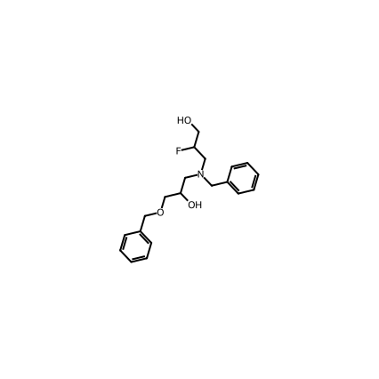 OCC(F)CN(Cc1ccccc1)CC(O)COCc1ccccc1